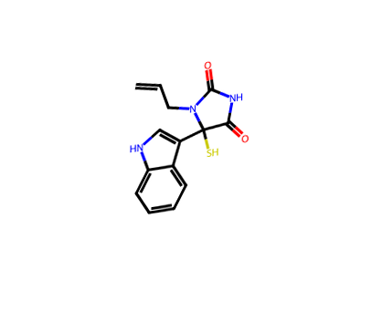 C=CCN1C(=O)NC(=O)C1(S)c1c[nH]c2ccccc12